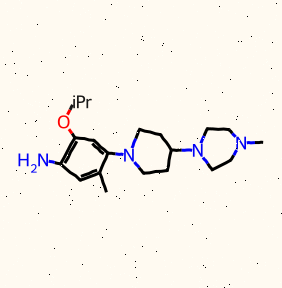 Cc1cc(N)c(OC(C)C)cc1N1CCC(N2CCN(C)CC2)CC1